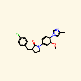 COC1C=C(N2CCC(Cc3ccc(Cl)cc3)C2=O)C=CC1n1cnc(C)c1